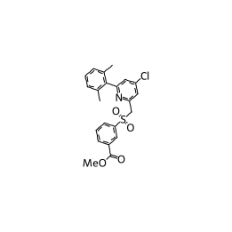 COC(=O)c1cccc(S(=O)(=O)Cc2cc(Cl)cc(-c3c(C)cccc3C)n2)c1